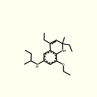 CCOc1cc(NC(C)CC)cc2c1NC(C)(CC)C=C2CC